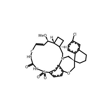 CO[C@@H]1/C=C/CNC(=O)NS(=O)(=O)c2ccc3c(c2)N(C[C@@H]2CC[C@H]21)C[C@@]1(CCCc2cc(Cl)ccc21)CO3